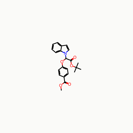 COC(=O)c1ccc(OC(C(=O)OC(C)(C)C)n2ccc3ccccc32)cc1